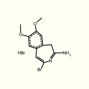 Br.COc1cc2c(cc1OC)CC(N)=NC(Br)=C2